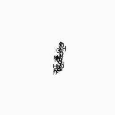 Nc1nccn2c(N3CCCC(C(=O)NC[C@@H]4CCCO4)C3)nc(-c3ccc(C(=O)Nc4cc(C(F)(F)F)ccn4)cc3)c12